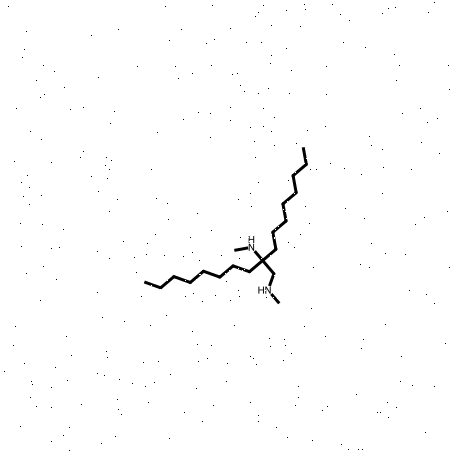 CCCCCCCCC(CCCCCCCC)(CNC)NC